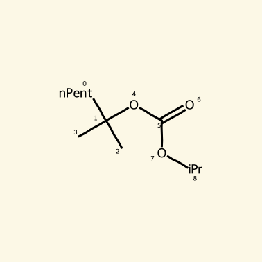 CCCCCC(C)(C)OC(=O)OC(C)C